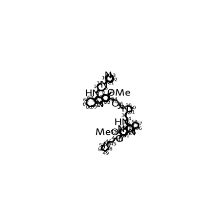 COc1cc2c(NC3CCN(c4cccnc4)CC3)c3c(nc2cc1COCCN1CCCC1CCNc1c2c(nc4cc(OCCCN5CCCC5)c(OC)nc14)CCC2)CCCCC3